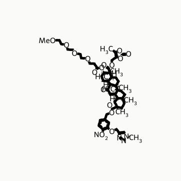 COCCOCCOCCOCCC(=O)O[C@H]1CC[C@@]2(C)[C@@H](CC[C@]3(C)[C@@H]2C(=O)C=C2[C@@H]4C[C@@](C)(C(=O)OCc5ccc([N+](=O)[O-])c(OCc6cn(C)nn6)c5)CC[C@]4(C)CC[C@]23C)[C@]1(C)C(=O)OCc1oc(=O)oc1C